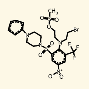 CS(=O)(=O)OCCN(CCBr)c1c(C(F)(F)F)cc([N+](=O)[O-])cc1S(=O)(=O)N1CCN(c2ccccc2)CC1